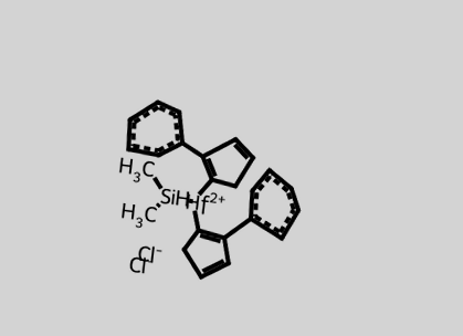 C[SiH](C)[Hf+2]([C]1=C(c2ccccc2)C=CC1)[C]1=C(c2ccccc2)C=CC1.[Cl-].[Cl-]